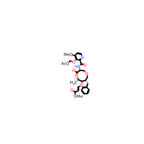 COC(=O)/C=C/O[C@@H]1[C@@H](Cc2ccccc2)COC[C@H](NC(=O)c2nccc(OC)c2OCOC(C)=O)C(=O)O[C@H]1C